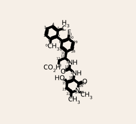 Cc1cccc(C)c1-c1cc(C(CC(=O)O)NC(=O)Nc2c(O)cc(C)n(C)c2=O)ccc1F